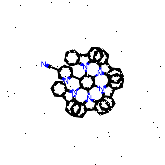 N#Cc1ccc(-c2c(-n3c4ccccc4c4ccccc43)c(-n3c4ccccc4c4ccccc43)c(-n3c4ccccc4c4ccccc43)c(-n3c4ccccc4c4ccccc43)c2-n2c3ccccc3c3ccccc32)nc1